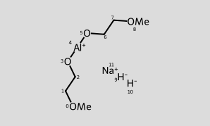 COCC[O][Al+][O]CCOC.[H-].[H-].[Na+]